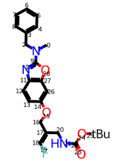 CN(Cc1ccccc1)c1nc2ccc(OCC(=CF)CNC(=O)OC(C)(C)C)cc2o1